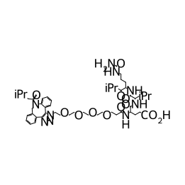 CC(C)CC(=O)N1Cc2ccccc2-c2nnn(CCOCCOCCOCCOCCC(=O)NC(CCC(=O)O)C(=O)NC(C(=O)NC(CCCNC(N)=O)C(=O)C(C)C)C(C)C)c2-c2ccccc21